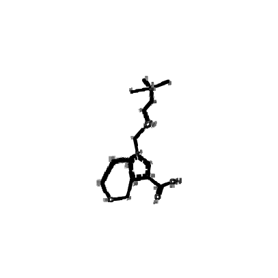 C[Si](C)(C)CCOCn1cc(C(=O)O)c2c1CCOC2